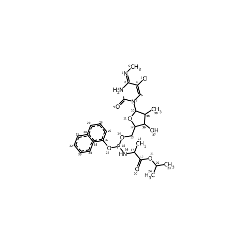 C/N=C(N)\C(Cl)=C/N(C=O)C1OC(COP(NC(C)C(=O)OC(C)C)Oc2cccc3ccccc23)C(O)C1C